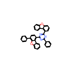 c1ccc(-c2nc(-c3cccc4oc5ccccc5c34)nc(-c3ccc(-c4ccccc4)c4oc5ccccc5c34)n2)cc1